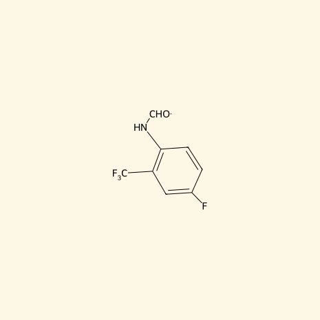 O=[C]Nc1ccc(F)cc1C(F)(F)F